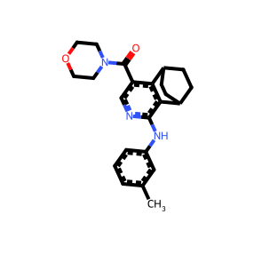 Cc1cccc(Nc2ncc(C(=O)N3CCOCC3)c3c2C2CCC3CC2)c1